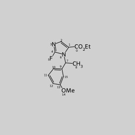 CCOC(=O)c1cnc(F)n1C(C)c1cccc(OC)c1